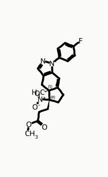 COC(=O)CC[C@]1([N+](=O)[O-])CCC2=Cc3c(cnn3-c3ccc(F)cc3)C[C@@]21C